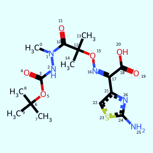 CN(NC(=O)OC(C)(C)C)C(=O)C(C)(C)ON=C(C(=O)O)c1csc(N)n1